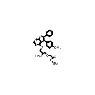 COc1ccc(-c2c(-c3ccccc3)oc3ncnc(OCC(COCC(=O)OC(C)(C)C)OC)c23)cc1